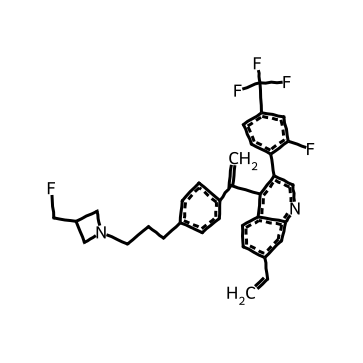 C=Cc1ccc2c(C(=C)c3ccc(CCCN4CC(CF)C4)cc3)c(-c3ccc(C(F)(F)F)cc3F)cnc2c1